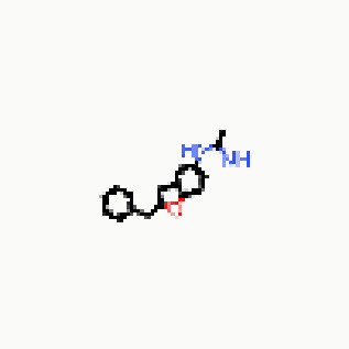 CC(=N)Nc1ccc2oc(Cc3ccccc3)cc2c1